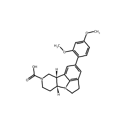 COc1ccc(-c2cc3c4c(c2)[C@H]2CN(C(=O)O)CC[C@H]2N4CC3)c(OC)c1